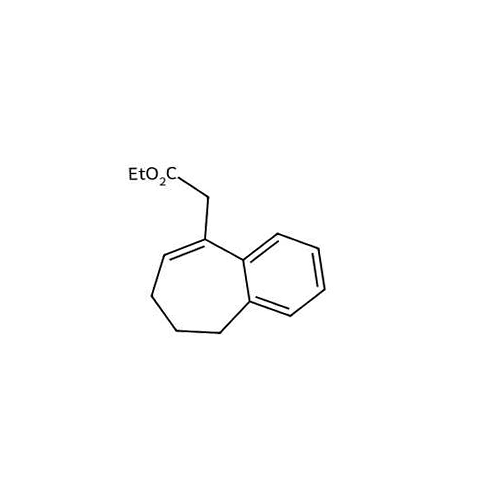 CCOC(=O)CC1=CCCCc2ccccc21